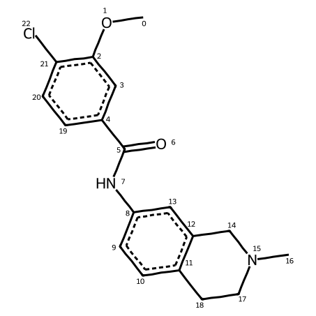 COc1cc(C(=O)Nc2ccc3c(c2)CN(C)CC3)ccc1Cl